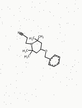 CC1(C)CC(OCc2ccccc2)CC(C)(C)N1CCC#N